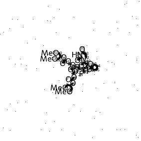 COCC(COC)OC(=O)OCOP(=O)(OCOC(=O)OC(COC)COC)OC[C@@]1(CF)O[C@@H](n2ccc(=O)[nH]c2=O)[C@]2(C)OC3(CCCC3)O[C@H]12